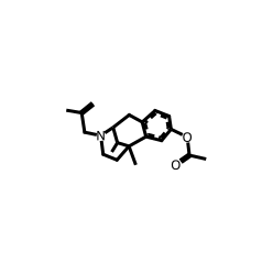 C=C(C)CN1CCC2(C)c3cc(OC(C)=O)ccc3CC1C2C